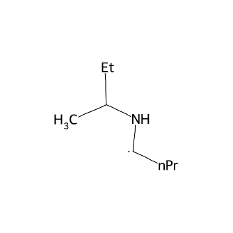 CCC[CH]NC(C)CC